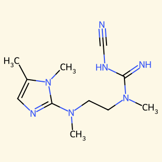 Cc1cnc(N(C)CCN(C)C(=N)NC#N)n1C